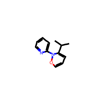 CC(C)C1=CC=CON1c1ccccn1